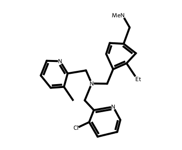 CCc1cc(CNC)ccc1CN(Cc1ncccc1C)Cc1ncccc1Cl